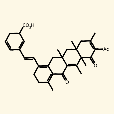 CC(=O)C1=C(C)CC2(C)CC3(C)CC4=C(/C=C/C5=CC(C(=O)O)CC=C5)CCC(C)=C4C(=O)C3=C(C)C2(C)C1=O